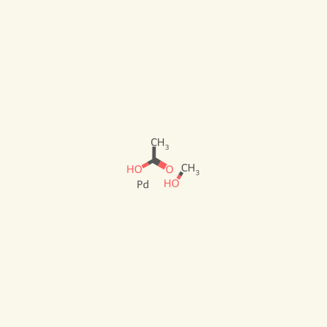 CC(=O)O.CO.[Pd]